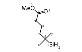 COC(=O)CCCC(C)(C)[SiH3]